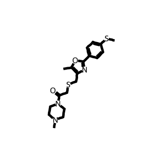 CSc1ccc(-c2nc(CSCC(=O)N3CCN(C)CC3)c(C)o2)cc1